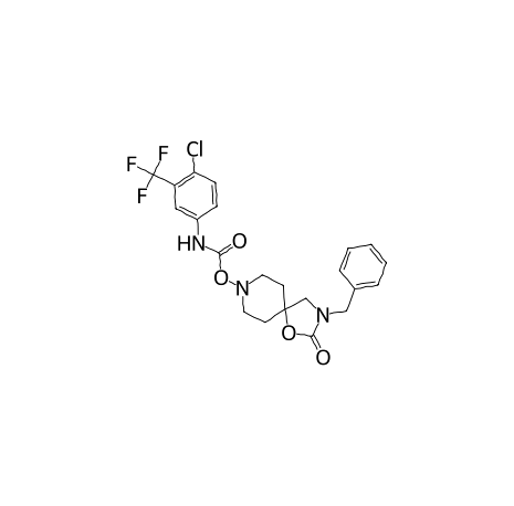 O=C(Nc1ccc(Cl)c(C(F)(F)F)c1)ON1CCC2(CC1)CN(Cc1ccccc1)C(=O)O2